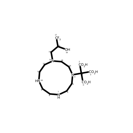 O=C(O)C(C(=O)O)(C(=O)O)N1CCNCCNCCN(CC(O)C(F)(F)F)CC1